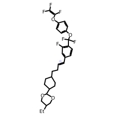 CCC1COC(C2CCC(CC/C=C/c3ccc(C(F)(F)Oc4ccc(OC(F)=C(F)F)cc4)c(F)c3)CC2)OC1